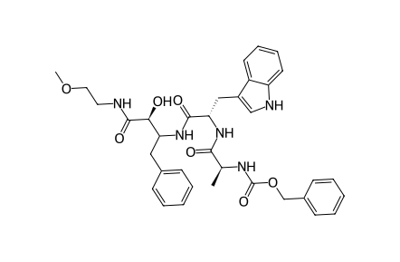 COCCNC(=O)[C@@H](O)C(Cc1ccccc1)NC(=O)[C@H](Cc1c[nH]c2ccccc12)NC(=O)[C@H](C)NC(=O)OCc1ccccc1